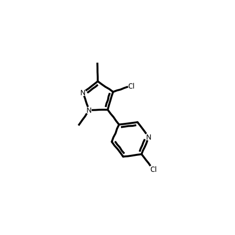 Cc1nn(C)c(-c2ccc(Cl)nc2)c1Cl